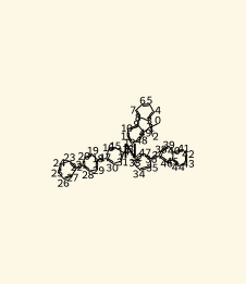 CC1(C)c2ccccc2-c2ccc(N(c3ccc(-c4ccc(-c5ccccc5)cc4)cc3)c3cccc(-c4ccc5ccccc5c4)c3)cc21